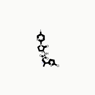 C/C(=C/S(=O)(=O)N[C@H]1CCN(c2ccc(I)cn2)C1=O)c1ccc(Cl)s1